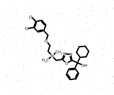 C[N+](C)(CCOCc1ccc(Cl)c(Cl)c1)Cc1nnc(C(O)(c2ccccc2)C2CCCCC2)o1